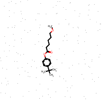 COCCCCCC(=O)Oc1ccc(C(C)(C)C)cc1